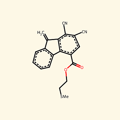 C=C1c2ccccc2-c2c(C(=O)OCCSC)cc(C#N)c(C#N)c21